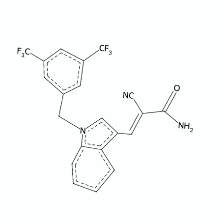 N#C/C(=C\c1cn(Cc2cc(C(F)(F)F)cc(C(F)(F)F)c2)c2ccccc12)C(N)=O